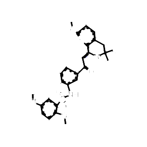 COc1ccc2c(c1)/C(=C/C(=O)c1cccc(NS(=O)(=O)c3cc(OC)ccc3OC)c1)NC(C)(C)C2